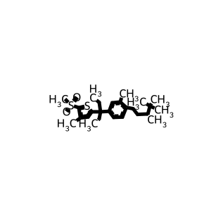 CCC(CC)(c1ccc(CCC(C)C(C)(C)C)c(C)c1)c1cc(C)c(S(C)(=O)=O)s1